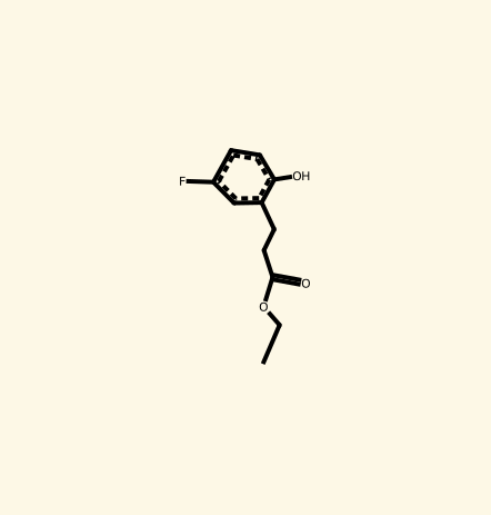 CCOC(=O)CCc1cc(F)ccc1O